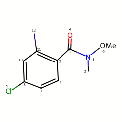 CON(C)C(=O)c1ccc(Cl)cc1I